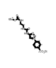 CCOC(=O)c1ccc(-[n+]2cc(NC(=O)NCCNC(=O)OC(C)(C)C)on2)cc1